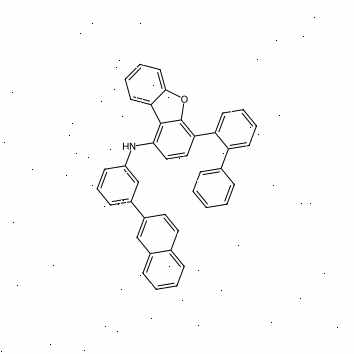 c1ccc(-c2ccccc2-c2ccc(Nc3cccc(-c4ccc5ccccc5c4)c3)c3c2oc2ccccc23)cc1